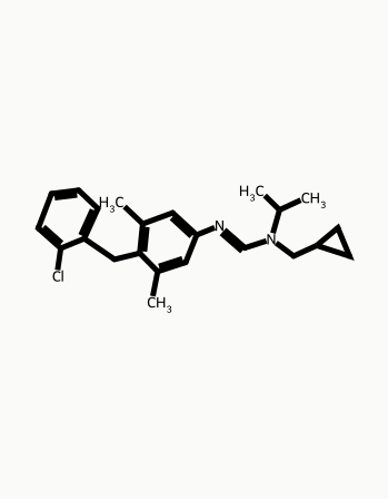 Cc1cc(N=CN(CC2CC2)C(C)C)cc(C)c1Cc1ccccc1Cl